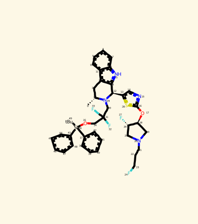 C[C@@H]1Cc2c([nH]c3ccccc23)[C@@H](c2cnc(O[C@H]3CN(CCCF)C[C@@H]3F)s2)N1CC(F)(F)CO[Si](c1ccccc1)(c1ccccc1)C(C)(C)C